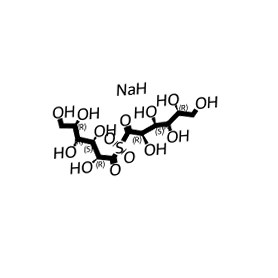 O=C([C@H](O)[C@@H](O)[C@H](O)[C@H](O)CO)S(=O)(=O)C(=O)[C@H](O)[C@@H](O)[C@H](O)[C@H](O)CO.[NaH]